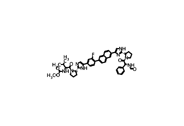 COC(=O)N[C@H](C(=O)N1CCC[C@H]1c1ncc(-c2ccc(-c3ccc4cc(-c5c[nH]c([C@@H]6CCCN6C(=O)[C@H](NC=O)c6ccccc6)n5)ccc4c3)c(F)c2)[nH]1)C(C)C